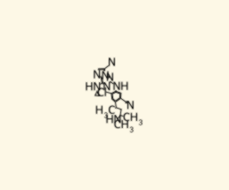 CNC(C)CC(C)c1cc(Cl)c(Nc2nc(NC3CC3)c3ncc(C#N)n3n2)cc1C#N